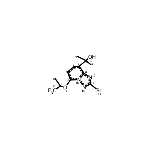 CC(Oc1ccc(C(C)(C)O)c2nc(Br)nn12)C(F)(F)F